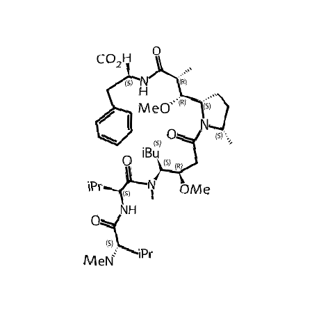 CC[C@H](C)[C@@H]([C@@H](CC(=O)N1[C@@H](C)CC[C@H]1[C@H](OC)[C@@H](C)C(=O)N[C@@H](Cc1ccccc1)C(=O)O)OC)N(C)C(=O)[C@@H](NC(=O)[C@@H](NC)C(C)C)C(C)C